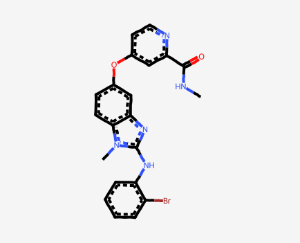 CNC(=O)c1cc(Oc2ccc3c(c2)nc(Nc2ccccc2Br)n3C)ccn1